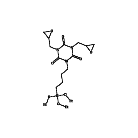 CCO[Si](CCCCn1c(=O)n(CC2CO2)c(=O)n(CC2CO2)c1=O)(OCC)OCC